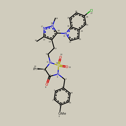 COc1ccc(CN2C(=O)[C@@H](C(C)C)N(CCc3c(C)nn(C)c3-n3ccc4cc(Cl)ccc43)S2(=O)=O)cc1